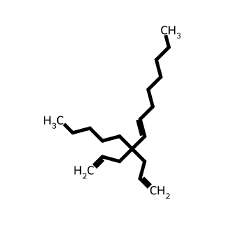 C=CCC(C=CCCCCCC)(CC=C)CCCCC